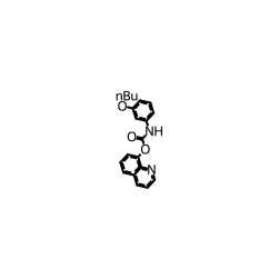 CCCCOc1cccc(NC(=O)Oc2cccc3cccnc23)c1